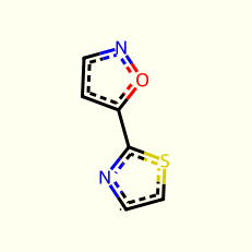 [c]1csc(-c2ccno2)n1